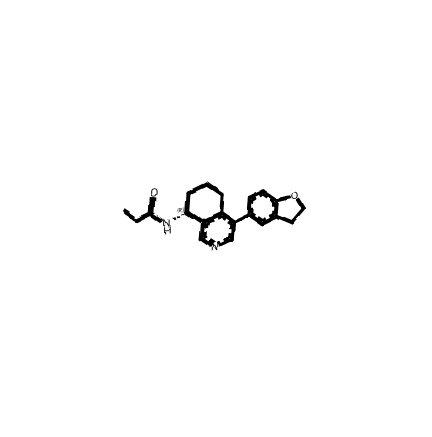 CCC(=O)N[C@@H]1CCCc2c(-c3ccc4c(c3)CCO4)cncc21